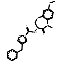 COc1ccc2c(c1)OC[C@H](NC(=O)n1cc(Cc3ccccc3)cn1)C(=O)N2C